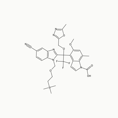 COc1cc(C)c2c(ccn2C(=O)O)c1C(OCc1nnc(C)o1)(c1nc2cc(C#N)ccc2n1COCC[Si](C)(C)C)C(F)(F)F